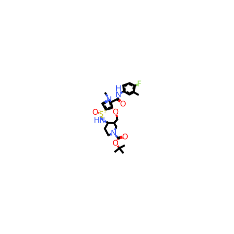 Cc1cc(NC(=O)c2c3c(cn2C)[S+]([O-])NC2CCN(C(=O)OC(C)(C)C)CC2CO3)ccc1F